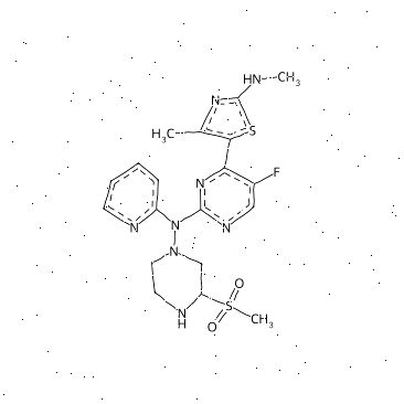 CNc1nc(C)c(-c2nc(N(c3ccccn3)N3CCNC(S(C)(=O)=O)C3)ncc2F)s1